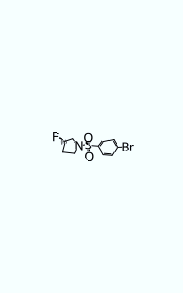 O=S(=O)(c1ccc(Br)cc1)N1CC[C@@H](F)C1